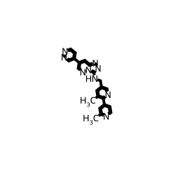 Cc1cc(-c2ncc(CNc3nnc4cc(-c5ccnnc5)cnn34)cc2C)ccn1